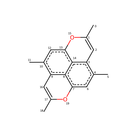 CC1=Cc2c(C)cc3c4c(c(C)cc(c24)O1)C=C(C)O3